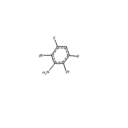 CC(C)c1c(F)cc(F)c(C(C)C)c1N